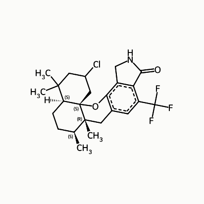 C[C@H]1CC[C@H]2C(C)(C)CC(Cl)C[C@]23Oc2c(cc(C(F)(F)F)c4c2CNC4=O)C[C@]13C